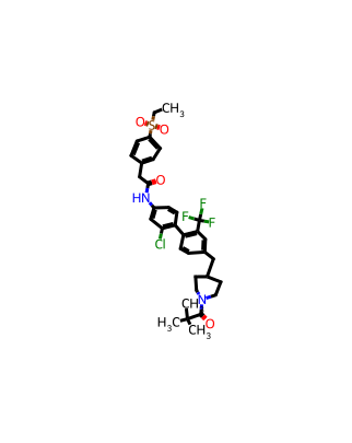 CCS(=O)(=O)c1ccc(CC(=O)Nc2ccc(-c3ccc(CC4CCN(C(=O)C(C)(C)C)CC4)cc3C(F)(F)F)c(Cl)c2)cc1